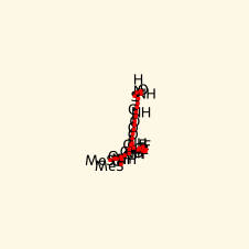 CSCC(=O)NCC(CCC(=O)Nc1cc(C(=O)NCCCOCCOCCOCCCNC(=O)CCCCCC2SCC3NC(=O)NC32)cc(C(=O)Oc2c(F)c(F)cc(F)c2F)c1)NC(=O)CSC